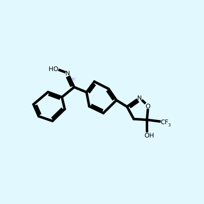 O/N=C(\c1ccccc1)c1ccc(C2=NOC(O)(C(F)(F)F)C2)cc1